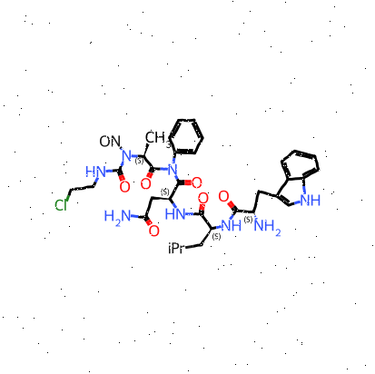 CC(C)C[C@H](NC(=O)[C@@H](N)Cc1c[nH]c2ccccc12)C(=O)N[C@@H](CC(N)=O)C(=O)N(C(=O)[C@H](C)N(N=O)C(=O)NCCCl)c1ccccc1